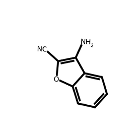 N#Cc1oc2ccccc2c1N